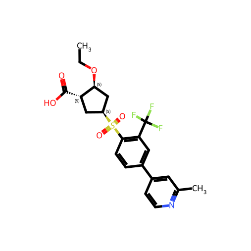 CCO[C@H]1C[C@@H](S(=O)(=O)c2ccc(-c3ccnc(C)c3)cc2C(F)(F)F)C[C@@H]1C(=O)O